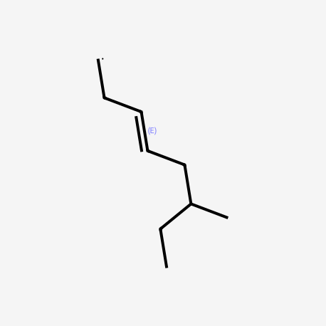 [CH2]C/C=C/CC(C)CC